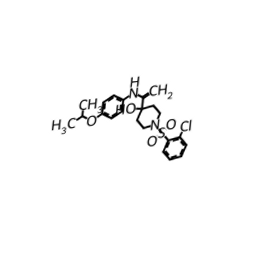 C=C(Nc1ccc(OC(C)C)cc1)C1(O)CCN(S(=O)(=O)c2ccccc2Cl)CC1